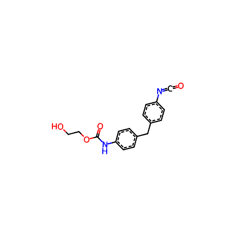 O=C=Nc1ccc(Cc2ccc(NC(=O)OCCO)cc2)cc1